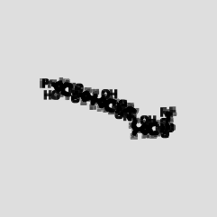 CC(C)C1CC2(CCN(S(=O)(=O)C3CC(C(C)(C)C4CC5(CCN(S(=O)(=O)c6ccn(CCC(C)C7CC8(CCN(S(=O)(=O)OCC(F)F)CC8)C7O)n6)CC5)C4O)C3)CC2)C1O